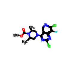 CC1CN(c2nc(Cl)nc3c(F)c(Cl)ncc23)CC(C)N1C(=O)OC(C)(C)C